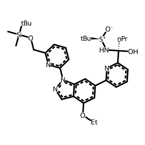 CCC[C@@](O)(N[S@+]([O-])C(C)(C)C)c1cccc(-c2cc(OCC)c3cnn(-c4cccc(CO[Si](C)(C)C(C)(C)C)n4)c3c2)n1